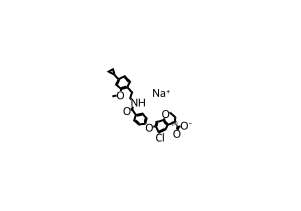 COc1cc(C2CC2)ccc1CCNC(=O)c1ccc(Oc2cc3c(cc2Cl)[C@@H](C(=O)[O-])CCO3)cc1.[Na+]